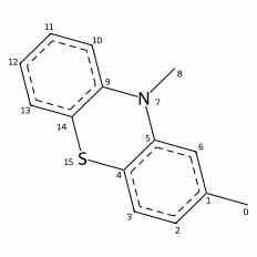 Cc1ccc2c(c1)N(C)c1ccccc1S2